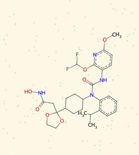 COc1ccc(NC(=O)N(c2ccccc2C(C)C)C2CCC(C3(CC(=O)NO)OCCO3)CC2)c(OC(F)F)n1